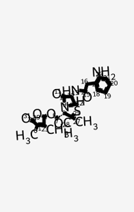 CC1=C(C)C(OC(=O)[C@@H]2N3C(=O)C(NC(=O)Cc4ccccc4N)[C@H]3SC2(C)C)OC1=O